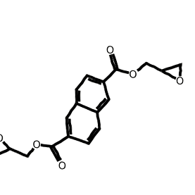 O=C(OCC1CO1)c1ccc2cc(C(=O)OCC3CO3)ccc2c1